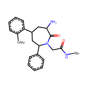 COc1ccccc1C1CC(N)C(=O)N(CC(=O)NC(C)(C)C)C(c2ccccc2)C1